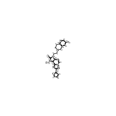 CCn1c(=O)n(CCN2CCc3ncc(C)cc3C2)c2ncn3nc(-c4ccco4)nc3c21